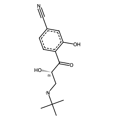 CC(C)(C)[N]C[C@H](O)C(=O)c1ccc(C#N)cc1O